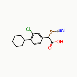 N#CSC(C(=O)O)c1ccc(C2CCCCC2)c(Cl)c1